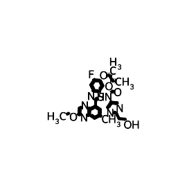 CCOc1cnc2c(-c3nc4cc(F)c(O[C@@H](C)[C@@H](C)OC(=O)Nc5cnc(CCO)nc5)cc4s3)cc(C)cc2n1